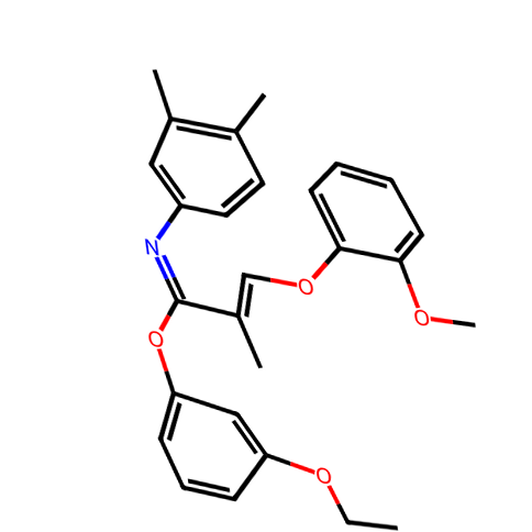 CCOc1cccc(OC(=N/c2ccc(C)c(C)c2)/C(C)=C/Oc2ccccc2OC)c1